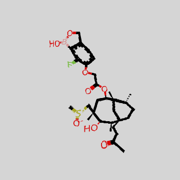 CC(=O)CC[C@]12CC[C@@H](C)[C@](C)(C1)[C@H](OC(=O)COc1ccc3c(c1F)B(O)OC3)C[C@@](C)(C[S+](C)[O-])[C@@H](O)[C@@H]2C